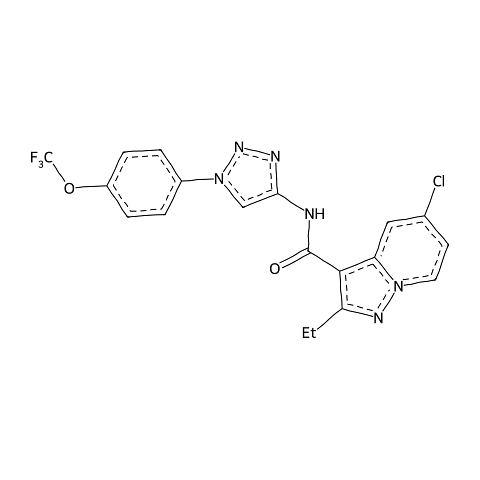 CCc1nn2ccc(Cl)cc2c1C(=O)Nc1cn(-c2ccc(OC(F)(F)F)cc2)nn1